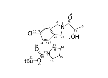 CC(O)C(=O)N1Cc2cc(Cl)cc([C@@H]3CCCN3C(=O)OC(C)(C)C)c2C1